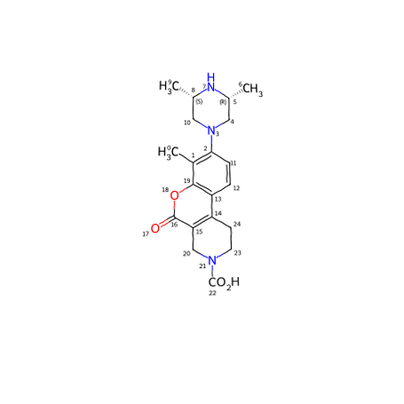 Cc1c(N2C[C@@H](C)N[C@@H](C)C2)ccc2c3c(c(=O)oc12)CN(C(=O)O)CC3